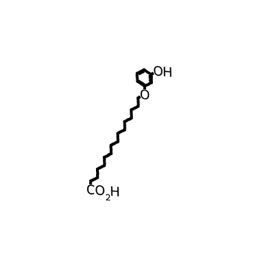 O=C(O)CCCCCCCCCCCCCCCOc1cccc(O)c1